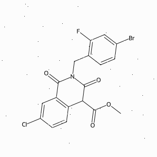 COC(=O)C1C(=O)N(Cc2ccc(Br)cc2F)C(=O)c2cc(Cl)ccc21